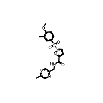 COc1ccc(S(=O)(=O)n2ccc(C(=O)NCc3cnc(C)cn3)n2)cc1C